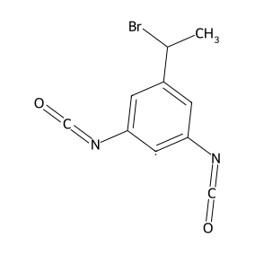 CC(Br)c1cc(N=C=O)[c]c(N=C=O)c1